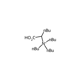 CCCCC(C(=O)O)[N+](CCCC)(CCCC)CCCC